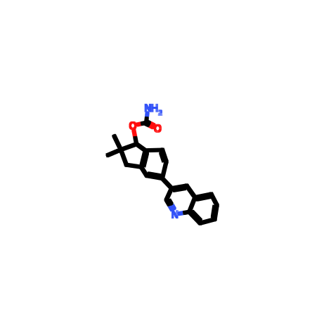 CC1(C)Cc2cc(-c3cnc4ccccc4c3)ccc2C1OC(N)=O